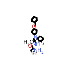 CC(C)CC(N)C(=O)NC(C)(C)CN(c1ccc(OCc2ccccc2)cc1)C1C=CCCC1